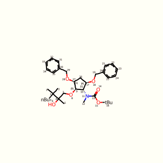 CCCCC(C)(C)C(C)(O)CO[C@@H]1[C@@H](N(C)C(=O)OC(C)(C)C)[C@H](OCc2ccccc2)C[C@@H]1OCc1ccccc1